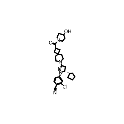 N#Cc1ccc(N2N=C(N3CCC4(CC3)CC(C(=O)N3CCC(O)CC3)C4)C[C@@H]2C2CCCC2)cc1Cl